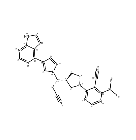 N#CC[C@@H]([C@H]1CCN(c2ncnc(C(F)F)c2C#N)C1)n1cc(-c2ncnc3[nH]ccc23)cn1